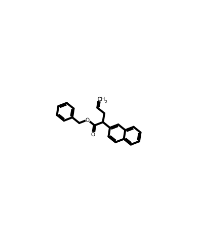 C=CCC(C(=O)OCc1ccccc1)c1ccc2ccccc2c1